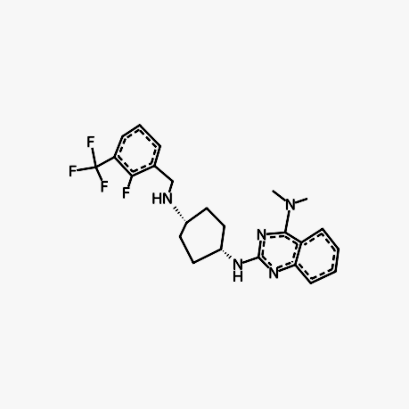 CN(C)c1nc(N[C@H]2CC[C@@H](NCc3cccc(C(F)(F)F)c3F)CC2)nc2ccccc12